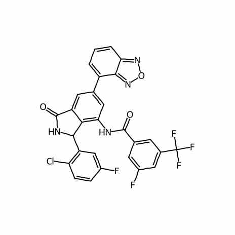 O=C(Nc1cc(-c2cccc3nonc23)cc2c1C(c1cc(F)ccc1Cl)NC2=O)c1cc(F)cc(C(F)(F)F)c1